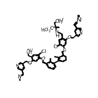 C/N=C/c1cncc(COc2cc(OCc3cccc(-c4cccc(COc5cc(OCc6cncc(/C=N/C)c6)c(CN[C@@](C)(CO)C(=O)O)cc5Cl)c4C)c3C)c(Cl)cc2CO)c1